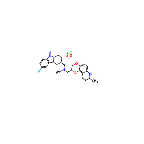 Cc1ccc2c3c(ccc2n1)OC[C@H](CN(C[C@@H]1CCc2[nH]c4ccc(F)cc4c2C1)C(C)C)O3.Cl.O